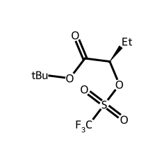 CC[C@@H](OS(=O)(=O)C(F)(F)F)C(=O)OC(C)(C)C